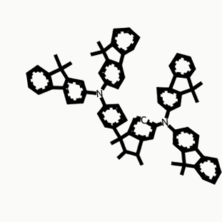 CC1c2cc(N(c3ccc4c(c3)C(C)(C)c3ccccc3-4)c3ccc4c(c3)C(C)(C)c3ccccc3-4)ccc2C(C)(c2ccc(N(c3ccc4c(c3)C(C)(C)c3ccccc3-4)c3ccc4c(c3)C(C)(C)c3ccccc3-4)cc2)C1C